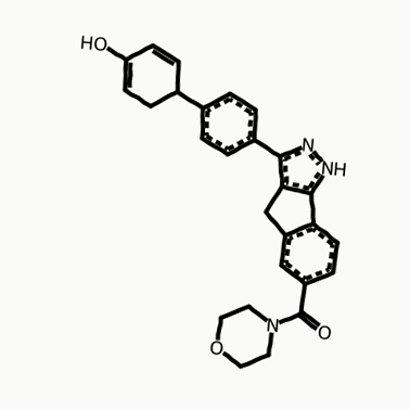 O=C(c1ccc2c(c1)Cc1c(-c3ccc(C4C=CC(O)=CC4)cc3)n[nH]c1-2)N1CCOCC1